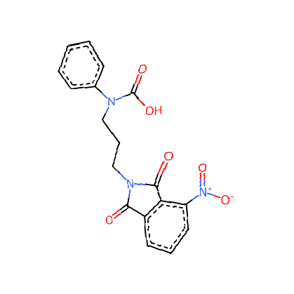 O=C1c2cccc([N+](=O)[O-])c2C(=O)N1CCCN(C(=O)O)c1ccccc1